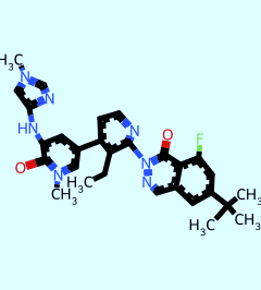 CCc1c(-c2cc(Nc3cn(C)cn3)c(=O)n(C)c2)ccnc1-n1ncc2cc(C(C)(C)C)cc(F)c2c1=O